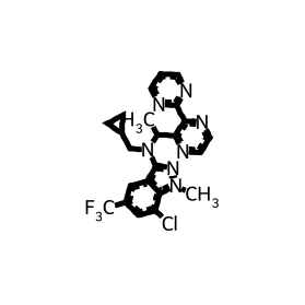 CC(c1nccnc1-c1ncccn1)N(CC1CC1)c1nn(C)c2c(Cl)cc(C(F)(F)F)cc12